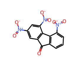 O=C1c2cccc([N+](=O)[O-])c2-c2c1cc([N+](=O)[O-])cc2[N+](=O)[O-]